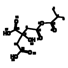 CC(C)C(=O)OC(=O)CC(O)(CC(=O)O)C(=O)O